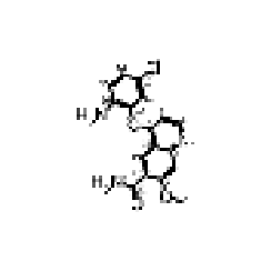 COc1cc2nccc(Oc3cc(Cl)ccc3N)c2cc1C(N)=O